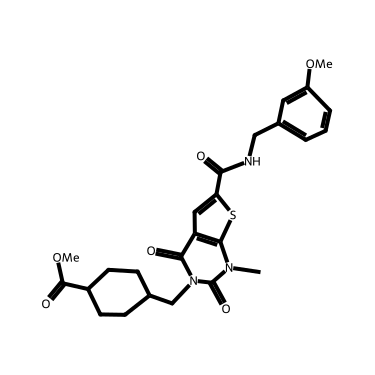 COC(=O)C1CCC(Cn2c(=O)c3cc(C(=O)NCc4cccc(OC)c4)sc3n(C)c2=O)CC1